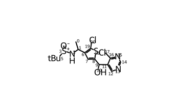 CC(N[S+]([O-])C(C)(C)C)c1cc(C(O)c2cncnc2Cl)sc1Cl